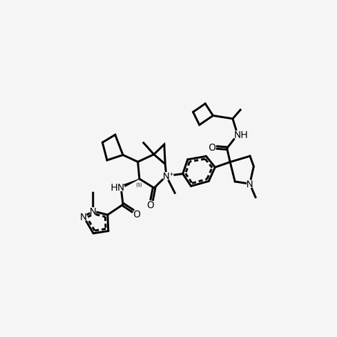 CC(NC(=O)C1(c2ccc([N+]3(C)C(=O)[C@@H](NC(=O)c4ccnn4C)C(C4CCC4)C4(C)CC43)cc2)CCN(C)C1)C1CCC1